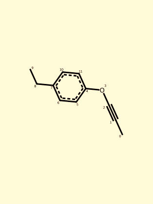 CC#COc1ccc(CC)cc1